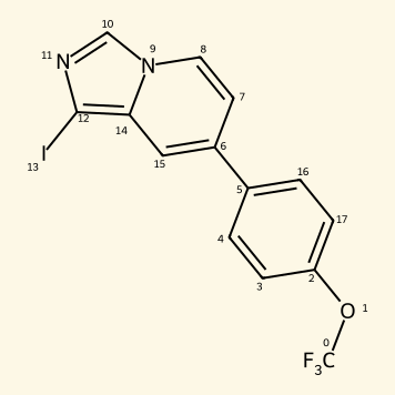 FC(F)(F)Oc1ccc(-c2ccn3cnc(I)c3c2)cc1